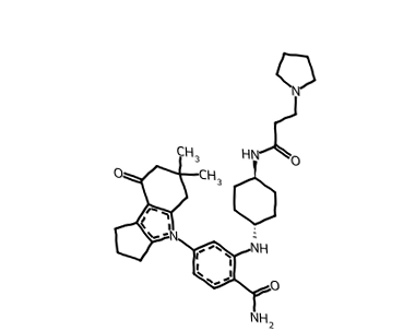 CC1(C)CC(=O)c2c3c(n(-c4ccc(C(N)=O)c(N[C@H]5CC[C@H](NC(=O)CCN6CCCC6)CC5)c4)c2C1)CCC3